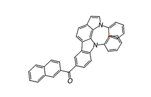 O=C(c1ccc2ccccc2c1)c1ccc2c(c1)c1ccc3ccn(-c4ccccc4)c3c1n2-c1ccccc1